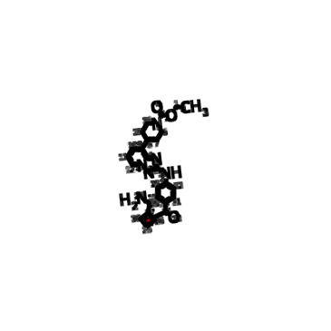 CCOC(=O)N1CC=C(c2cccn3nc(Nc4ccc(C(=O)N5CC6CC5(CN)C6)cc4)nc23)CC1